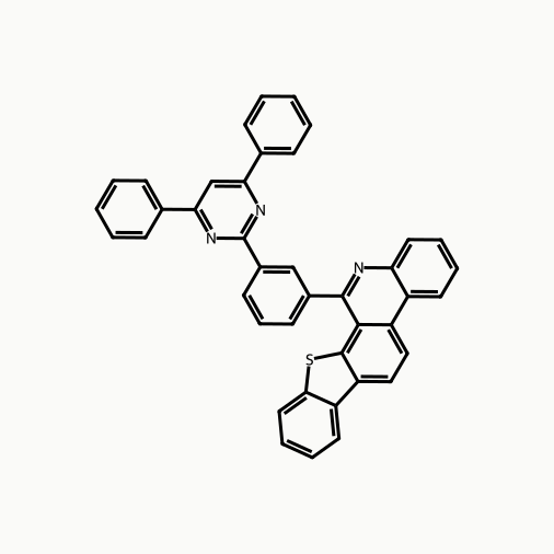 c1ccc(-c2cc(-c3ccccc3)nc(-c3cccc(-c4nc5ccccc5c5ccc6c7ccccc7sc6c45)c3)n2)cc1